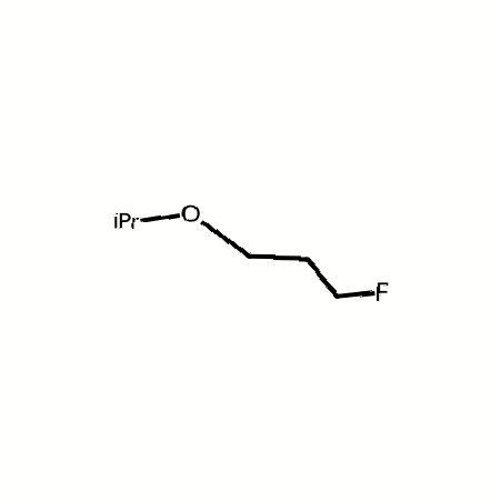 CC(C)OCCCF